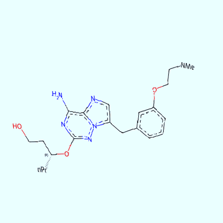 CCC[C@H](CCO)Oc1nc(N)c2ncc(Cc3cccc(OCCNC)c3)n2n1